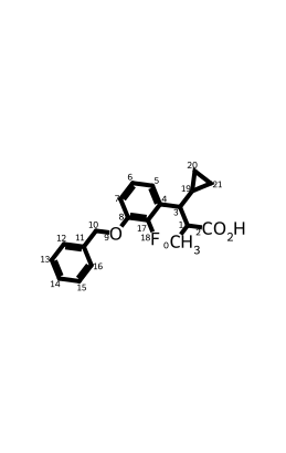 CC(C(=O)O)C(c1cccc(OCc2ccccc2)c1F)C1CC1